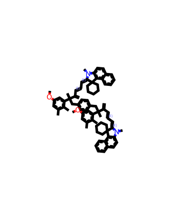 C=C(/C=C/C=C1/N(C)c2ccc3ccccc3c2C12CCCCC2)C(C)(Cc1ccc(CC(C)(C(=C)/C=C/C=C2/N(C)c3ccc4ccccc4c3C23CCCCC3)c2cc(OC)cc(C)c2C)cc1)c1cc(OC)cc(C)c1C